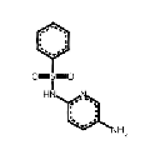 Nc1ccc(NS(=O)(=O)c2ccccc2)nc1